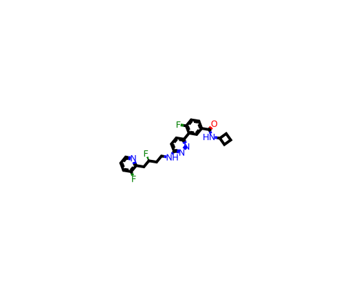 O=C(NC1CCC1)c1ccc(F)c(-c2ccc(NCC[C@H](F)Cc3ncccc3F)nn2)c1